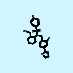 O=S(=O)(c1ccc(Cl)cc1)N(Cc1ccc(-c2ncco2)cc1F)C1CCCCC1CO